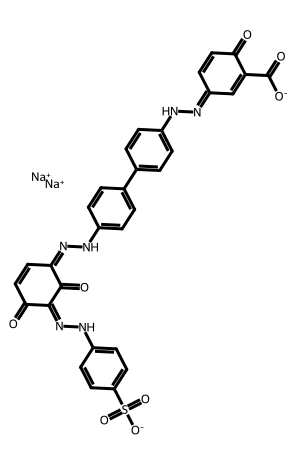 O=C([O-])C1=CC(=NNc2ccc(-c3ccc(NN=c4ccc(=O)c(=NNc5ccc(S(=O)(=O)[O-])cc5)c4=O)cc3)cc2)C=CC1=O.[Na+].[Na+]